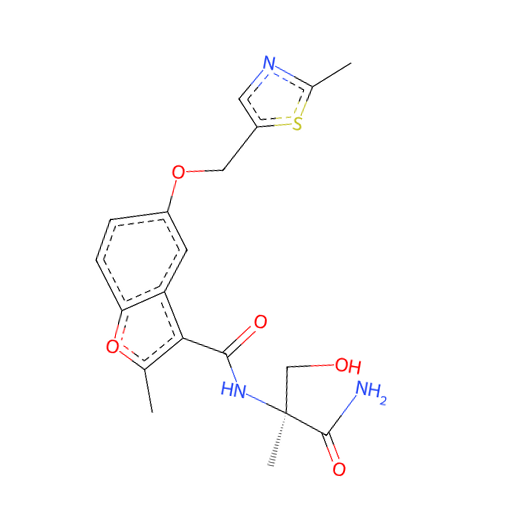 Cc1ncc(COc2ccc3oc(C)c(C(=O)N[C@@](C)(CO)C(N)=O)c3c2)s1